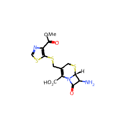 COC(=O)c1ncsc1SCC1=C(C(=O)O)N2C(=O)C(N)[C@H]2SC1